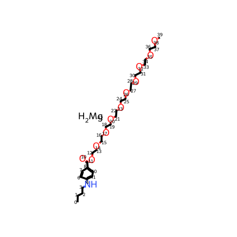 CCCCNc1ccc(C(=O)OCCOCCOCCOCCOCCOCCOCCOCCOCCOC)cc1.[MgH2]